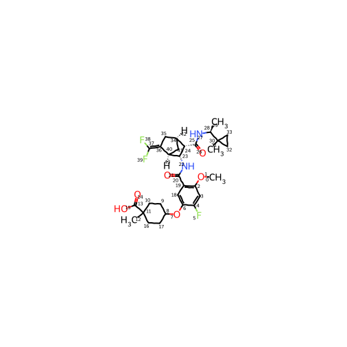 COc1cc(F)c(OC2CCC(C)(C(=O)O)CC2)cc1C(=O)N[C@H]1[C@@H](C(=O)N[C@@H](C)C2(C)CC2)[C@@H]2CC(=C(F)F)[C@H]1C2